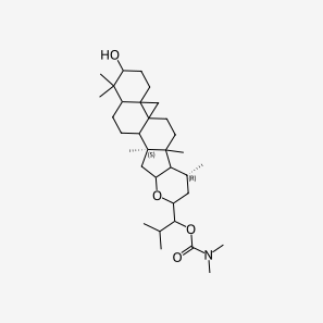 CC(C)C(OC(=O)N(C)C)C1C[C@@H](C)C2C(C[C@@]3(C)C4CCC5C(C)(C)C(O)CCC56CC46CCC23C)O1